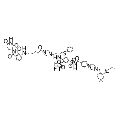 CCC12CC(C3=C(CN4CCN(c5ccc(C(=O)NS(=O)(=O)c6ccc(N[C@H](CCN7CCN(C(=O)CCCCCNc8cccc9c8C(=O)N(C8CCC(=O)NC8=O)C9=O)CC7)CSc7ccccc7)c(S(=O)(=O)C(F)(F)F)c6)cc5)CC4)CCC(C)(C)C3)(C1)C2